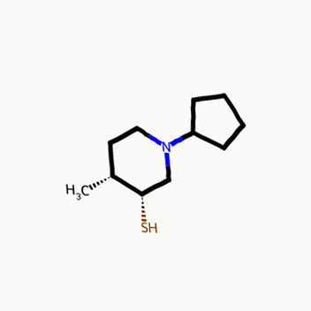 C[C@@H]1CCN(C2CCCC2)C[C@@H]1S